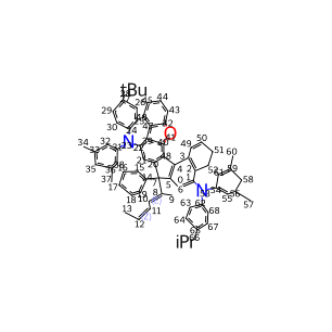 C=C(C1=C(C2=C(C)C(/C(C)=C/C=C\C)(c3ccccc3)c3cc(N(c4ccc(C(C)(C)C)cc4)c4cc(C)cc(C)c4)c4c(oc5ccccc54)c32)C=CCC1)N(C1=CC(C)CC(C)=C1)c1ccc(C(C)C)cc1